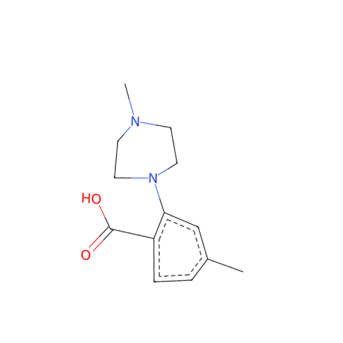 Cc1ccc(C(=O)O)c(N2CCN(C)CC2)c1